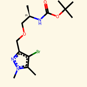 Cc1c(Br)c(COC[C@@H](C)NC(=O)OC(C)(C)C)nn1C